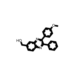 COc1ccc(-c2nc3cc(CO)ccc3nc2-c2ccccc2)cc1